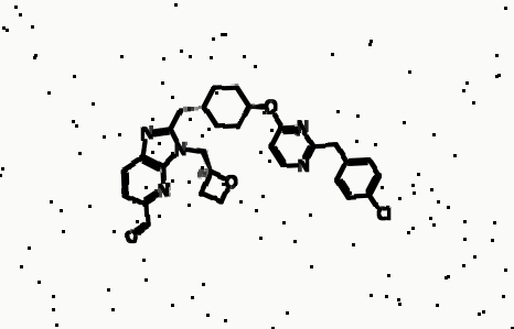 O=Cc1ccc2nc(C[C@H]3CC[C@H](Oc4ccnc(Cc5ccc(Cl)cc5)n4)CC3)n(C[C@@H]3CCO3)c2n1